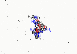 CCn1nc(C)cc1C(=O)Nc1nc2cc(C(N)=O)cc(OC(C)Oc3cc(C(N)=O)cc4nc(NC(=O)c5cc(C)nn5CC)n(C)c34)c2n1C